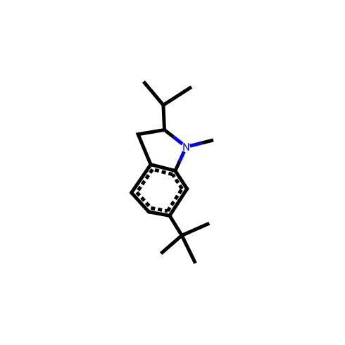 CC(C)C1Cc2ccc(C(C)(C)C)cc2N1C